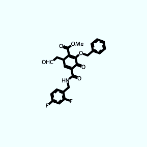 COC(=O)C1=C(OCc2ccccc2)C(=O)C(C(=O)NCc2ccc(F)cc2F)=CC1CC=O